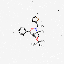 CC(ON(C(c1cccs1)C(C)C)C(C)(C)CO[Si](C)(C)C)c1ccccc1